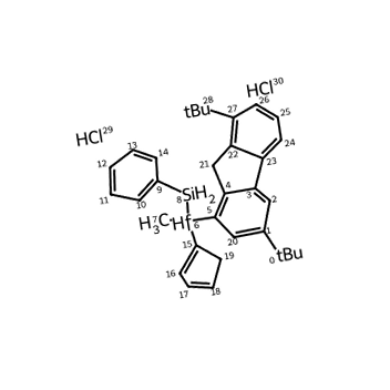 CC(C)(C)c1cc2c([c]([Hf]([CH3])([SiH2]c3ccccc3)[C]3=CC=CC3)c1)Cc1c-2cccc1C(C)(C)C.Cl.Cl